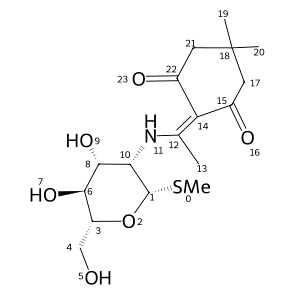 CS[C@@H]1O[C@H](CO)[C@@H](O)[C@H](O)[C@@H]1NC(C)=C1C(=O)CC(C)(C)CC1=O